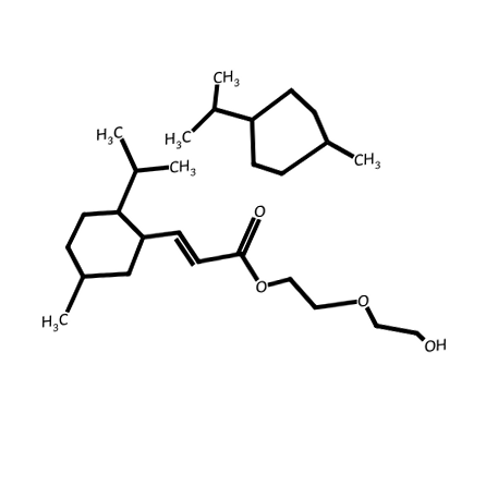 CC1CCC(C(C)C)C(C=CC(=O)OCCOCCO)C1.CC1CCC(C(C)C)CC1